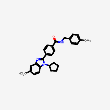 COc1ccc(CNC(=O)c2ccc(-c3nc4cc(C(=O)O)ccc4n3C3CCCC3)cc2)cc1